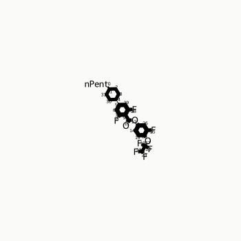 CCCCC[C@H]1CC[C@H](c2cc(F)c(C(=O)Oc3ccc(OC(F)(F)C(F)F)c(F)c3)c(F)c2)CC1